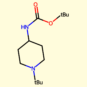 CC(C)(C)OC(=O)NC1CCN(C(C)(C)C)CC1